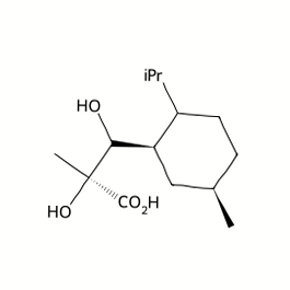 CC(C)C1CC[C@@H](C)C[C@H]1C(O)[C@](C)(O)C(=O)O